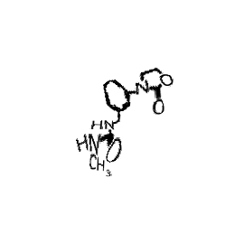 CNC(=O)NCc1cccc(N2CCOC2=O)c1